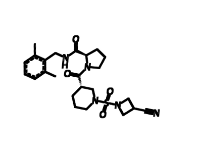 Cc1cccc(C)c1CNC(=O)[C@H]1CCCN1C(=O)[C@H]1CCCN(S(=O)(=O)N2CC(C#N)C2)C1